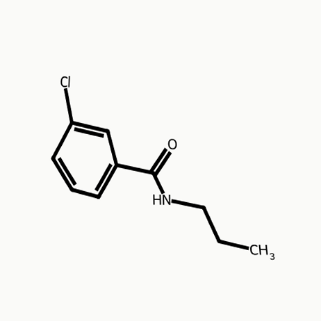 CCCNC(=O)c1cccc(Cl)c1